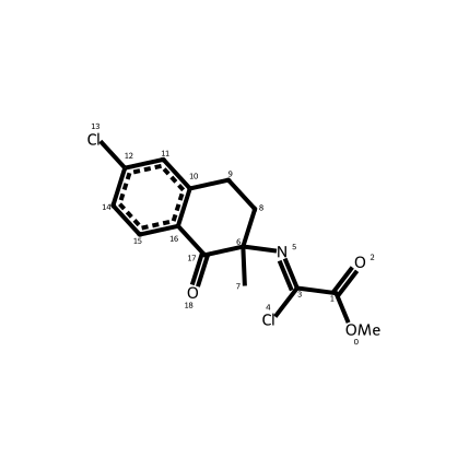 COC(=O)C(Cl)=NC1(C)CCc2cc(Cl)ccc2C1=O